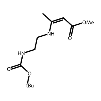 COC(=O)C=C(C)NCCNC(=O)OC(C)(C)C